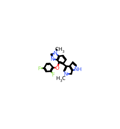 CN1C=C(c2ccc3c(ncn3C)c2Oc2ccc(F)cc2F)c2cc[nH]c2C1